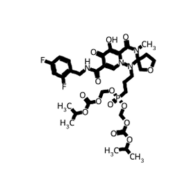 CC(C)OC(=O)OCOP(=O)(CCCN1n2cc(C(=O)NCc3ccc(F)cc3F)c(=O)c(O)c2C(=O)N(C)C12CCOC2)OCOC(=O)OC(C)C